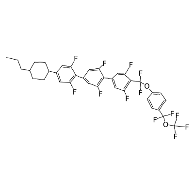 CCCC1CCC(c2cc(F)c(-c3cc(F)c(-c4cc(F)c(C(F)(F)Oc5ccc(C(F)(F)OC(F)(F)F)cc5)c(F)c4)c(F)c3)c(F)c2)CC1